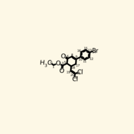 CCOC(=O)C1C(=O)C=C(c2ccc(Br)cc2)CC1C=C(Cl)Cl